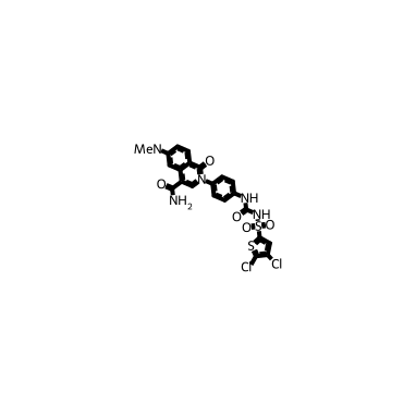 CNc1ccc2c(=O)n(-c3ccc(NC(=O)NS(=O)(=O)c4cc(Cl)c(Cl)s4)cc3)cc(C(N)=O)c2c1